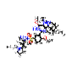 [2H]C([2H])(C)C([2H])([2H])c1nn(C)c2c(=O)[nH]c(-c3cc(S(=O)(=O)NC([2H])([2H])C([2H])([2H])C4CCCN4C)ccc3OCCC)nc12